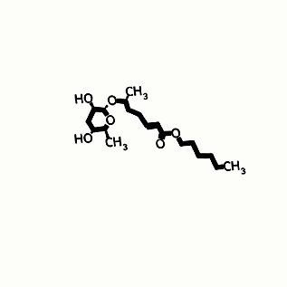 CCCCCCOC(=O)/C=C/CC[C@@H](C)O[C@@H]1O[C@@H](C)[C@H](O)C[C@H]1O